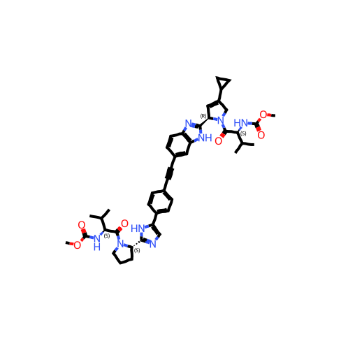 COC(=O)N[C@H](C(=O)N1CC(C2CC2)=C[C@@H]1c1nc2ccc(C#Cc3ccc(-c4cnc([C@@H]5CCCN5C(=O)[C@@H](NC(=O)OC)C(C)C)[nH]4)cc3)cc2[nH]1)C(C)C